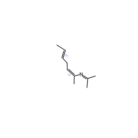 C/C=C/C/C=C(/C)N=C(C)C